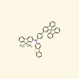 CC1(C)c2ccccc2-c2ccc(N(c3ccc(-c4ccc5c(c4)C4(c6ccccc6-c6ccccc64)c4ccccc4-5)cc3)c3ccc4c(c3)sc3ccccc34)cc21